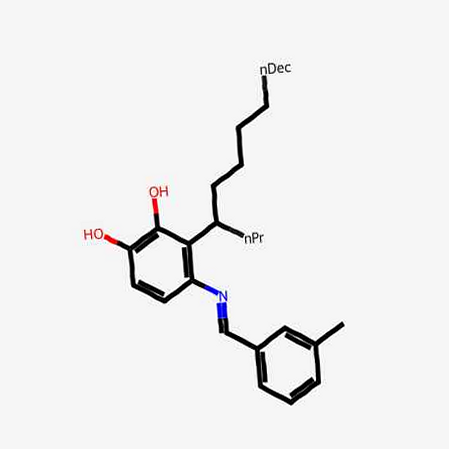 CCCCCCCCCCCCCCC(CCC)c1c(N=Cc2cccc(C)c2)ccc(O)c1O